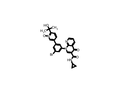 CC(C)(O)c1ccc(-c2cc(Br)cc(-n3cc(C(=O)NC4CC4)c(=O)c4cccnc43)c2)c[n+]1[O-]